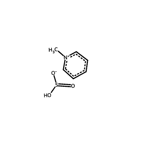 C[n+]1ccccc1.O=S([O-])O